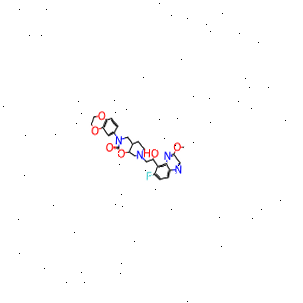 COc1cnc2ccc(F)c(C(O)CN3CCC4CN(c5ccc6c(c5)OCCO6)C(=O)OC4C3)c2n1